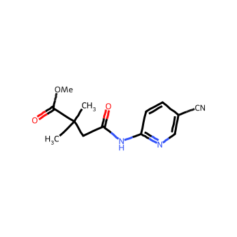 COC(=O)C(C)(C)CC(=O)Nc1ccc(C#N)cn1